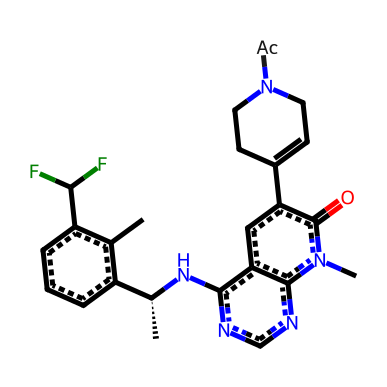 CC(=O)N1CC=C(c2cc3c(N[C@H](C)c4cccc(C(F)F)c4C)ncnc3n(C)c2=O)CC1